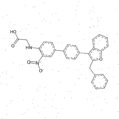 O=C(O)CNc1ccc(-c2ccc(-c3c(Cc4ccccc4)oc4ccccc34)cc2)cc1[N+](=O)[O-]